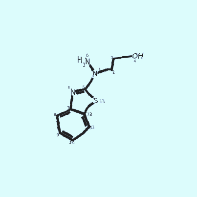 NN(CCO)c1nc2ccccc2s1